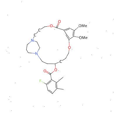 COc1cc2cc(c1OC)OCCCC(OC(=O)c1c(F)ccc(C)c1C)CCN1CCCN(CCCOC2=O)CC1